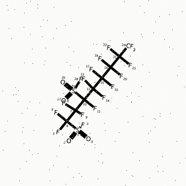 O=S(=O)(F)C(F)(F)C(F)(F)C(F)(C(F)(F)C(F)(F)C(F)(F)C(F)(F)C(F)(F)F)S(=O)(=O)F